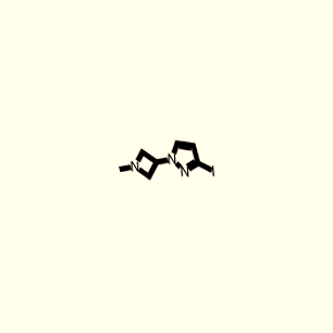 CN1CC(n2ccc(I)n2)C1